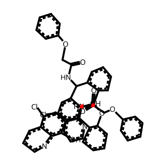 O=C(COc1ccccc1)NC(c1ccccc1OC(=O)c1ccccc1C(NC(=O)COc1ccccc1)c1cc(Cl)c2cccnc2c1O)c1cc(Cl)c2cccnc2c1O